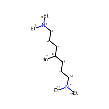 CCN(CC)CCC[CH]([In])CCCN(CC)CC